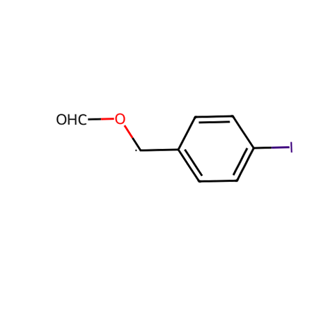 O=CO[CH]c1ccc(I)cc1